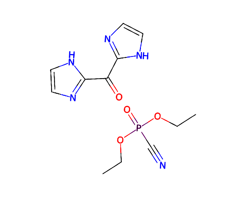 CCOP(=O)(C#N)OCC.O=C(c1ncc[nH]1)c1ncc[nH]1